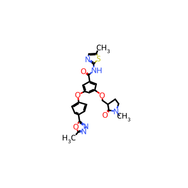 Cc1nnc(-c2ccc(Oc3cc(OCC4CCN(C)C4=O)cc(C(=O)Nc4ncc(C)s4)c3)cc2)o1